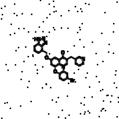 O=c1c(Cc2cccnc2)cn2c3c(cc(OCc4cccc5[nH]nnc45)cc13)Oc1ccc(Br)cc1-2